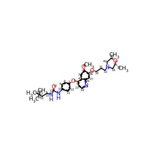 COc1cc2c(Oc3ccc(NC(=O)NCCC(C)(C)C)cc3)ccnc2cc1OCCCN1C[C@@H](C)O[C@@H](C)C1